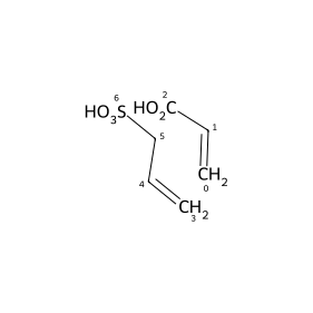 C=CC(=O)O.C=CCS(=O)(=O)O